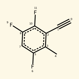 C#Cc1c(C)c(F)cc(F)c1F